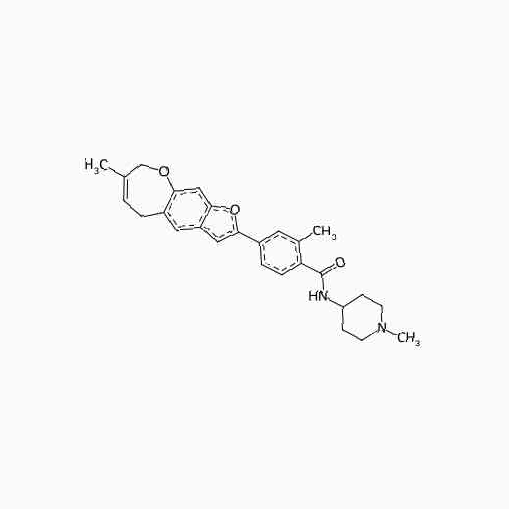 CC1=CCc2cc3cc(-c4ccc(C(=O)NC5CCN(C)CC5)c(C)c4)oc3cc2OC1